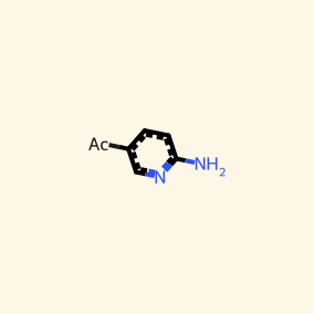 CC(=O)c1ccc(N)nc1